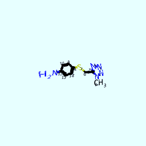 Cn1nnnc1CSc1ccc(N)cc1